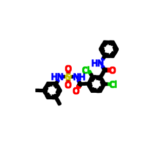 Cc1cc(C)cc(NS(=O)(=O)NC(=O)c2ccc(Cl)c(C(=O)Nc3ccccc3)c2Cl)c1